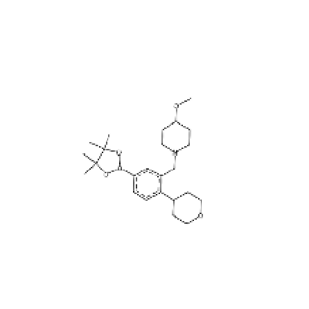 COC1CCN(Cc2cc(B3OC(C)(C)C(C)(C)O3)ccc2C2CCOCC2)CC1